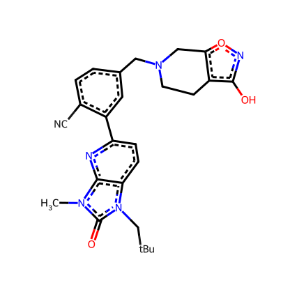 Cn1c(=O)n(CC(C)(C)C)c2ccc(-c3cc(CN4CCc5c(O)noc5C4)ccc3C#N)nc21